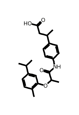 Cc1ccc(C(C)C)cc1OC(C)C(=O)Nc1ccc(C(C)CC(=O)O)cc1